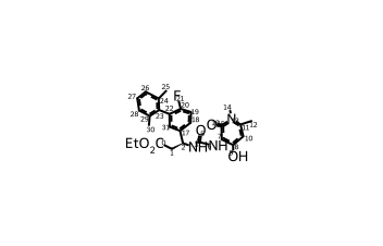 CCOC(=O)C[C@H](NC(=O)Nc1c(O)cc(C)n(C)c1=O)c1ccc(F)c(-c2c(C)cccc2C)c1